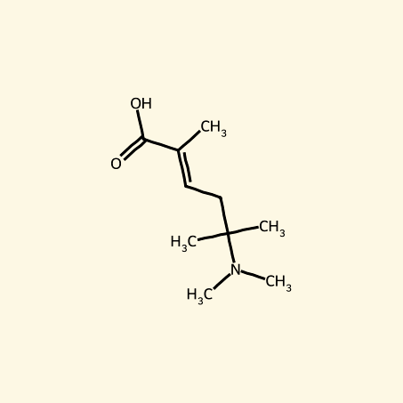 C/C(=C\CC(C)(C)N(C)C)C(=O)O